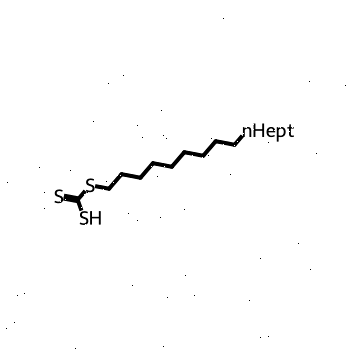 CCCCCCCCCCCCCCCCSC(=S)S